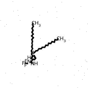 CCCCCCCCCCCCCCCCN(CCCCCCCCCCCCCCCC)Cc1cccc(C(=N)NCC(F)(F)F)c1